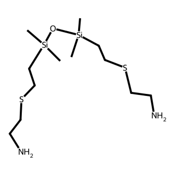 C[Si](C)(CCSCCN)O[Si](C)(C)CCSCCN